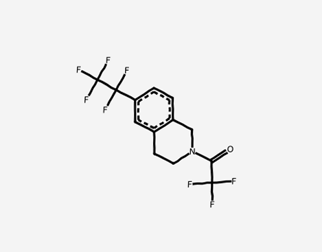 O=C(N1CCc2cc(C(F)(F)C(F)(F)F)ccc2C1)C(F)(F)F